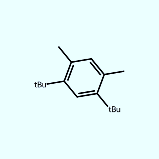 Cc1cc(C)c(C(C)(C)C)cc1C(C)(C)C